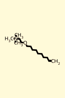 C=CCCCCCCCCOCC[N+](C)(C)C